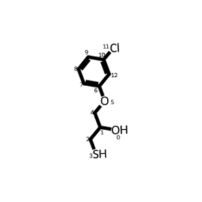 OC(CS)COc1cccc(Cl)c1